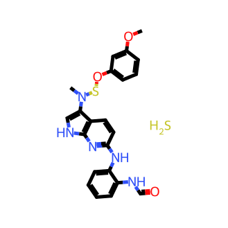 COc1cccc(OSN(C)c2c[nH]c3nc(Nc4ccccc4NC=O)ccc23)c1.S